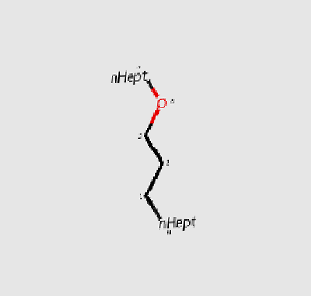 [CH2]CCCCCCCCCOCCCCCCC